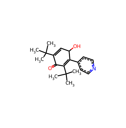 CC(C)(C)C1=CC(O)C(c2ccncc2)=C(C(C)(C)C)C1=O